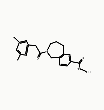 Cc1cc(C)cc(CC(=O)N2CCCc3cc(C(=O)NO)ccc3C2)c1